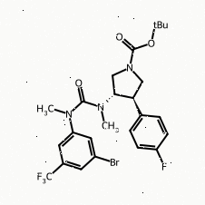 CN(C(=O)N(C)[C@@H]1CN(C(=O)OC(C)(C)C)C[C@H]1c1ccc(F)cc1)c1cc(Br)cc(C(F)(F)F)c1